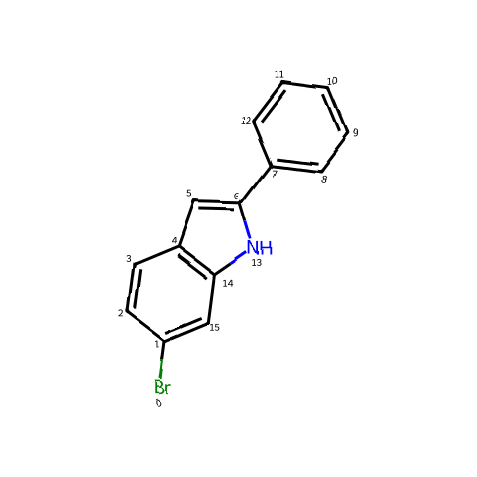 Brc1ccc2cc(-c3ccccc3)[nH]c2c1